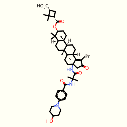 CC(C)C1=C2[C@H]3CC[C@@H]4[C@@]5(C)CC[C@H](OC(=O)[C@H]6C[C@@H](C(=O)O)C6(C)C)C(C)(C)[C@@H]5CC[C@@]4(C)[C@]3(C)CC[C@@]2(NC(=O)C(C)(C)NC(=O)c2ccc(N3CCC(O)CC3)cc2)CC1=O